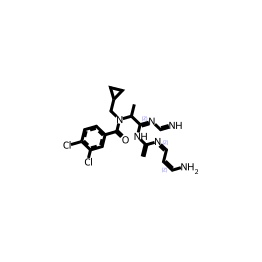 C=C(/N=C\C=C/N)N/C(=N\C=N)C(C)N(CC1CC1)C(=O)c1ccc(Cl)c(Cl)c1